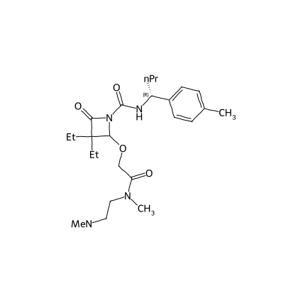 CCC[C@@H](NC(=O)N1C(=O)C(CC)(CC)C1OCC(=O)N(C)CCNC)c1ccc(C)cc1